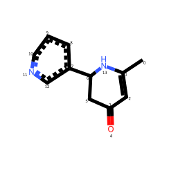 CC1=CC(=O)CC(c2cccnc2)N1